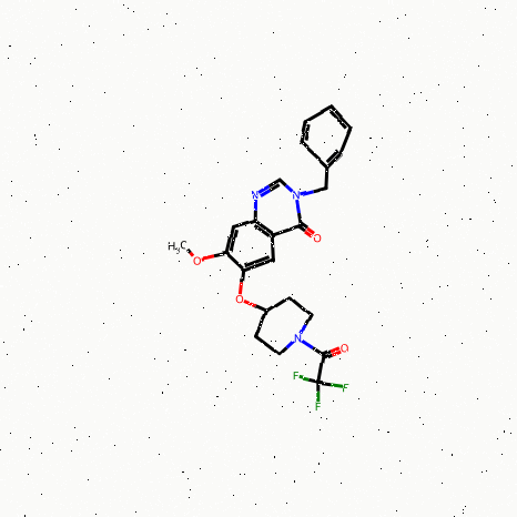 COc1cc2ncn(Cc3ccccc3)c(=O)c2cc1OC1CCN(C(=O)C(F)(F)F)CC1